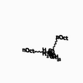 CCCCCCCCC=CCCCCCCCCOC(C)(C[N+](C)(C)C)OCCCCCCCCC=CCCCCCCCC